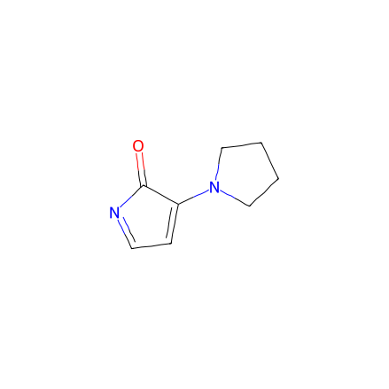 O=C1N=CC=C1N1CCCC1